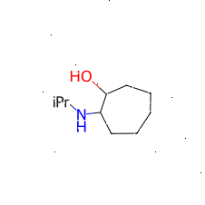 CC(C)NC1CCCCCC1O